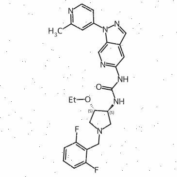 CCO[C@H]1CN(Cc2c(F)cccc2F)C[C@@H]1NC(=O)Nc1cc2cnn(-c3ccnc(C)c3)c2cn1